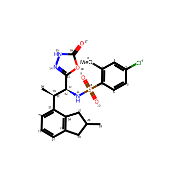 COc1cc(Cl)ccc1S(=O)(=O)N[C@H](c1n[nH]c(=O)o1)[C@H](C)c1cccc2c1CC(C)C2